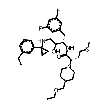 CCOCC1CCN([C@@H](CCSC)C(=O)N[C@@H](Cc2cc(F)cc(F)c2)[C@@H](O)CNC2(c3cccc(CC)c3)CC2)CC1